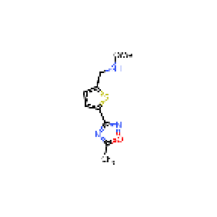 CONCc1ccc(-c2noc(C(F)(F)F)n2)s1